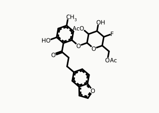 CC(=O)OCC1OC(Oc2cc(C)cc(O)c2C(=O)CCc2ccc3occc3c2)C(OC(C)=O)C(O)C1F